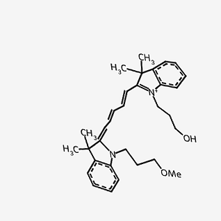 COCCCN1\C(=C/C=C/C=C/C2=[N+](CCCO)c3ccccc3C2(C)C)C(C)(C)c2ccccc21